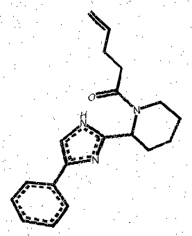 C=CCCC(=O)N1CCCCC1c1nc(-c2ccccc2)c[nH]1